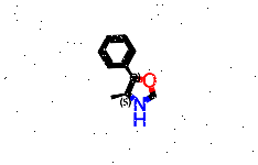 C[C@@H]1NCO[C@@H]1c1ccccc1